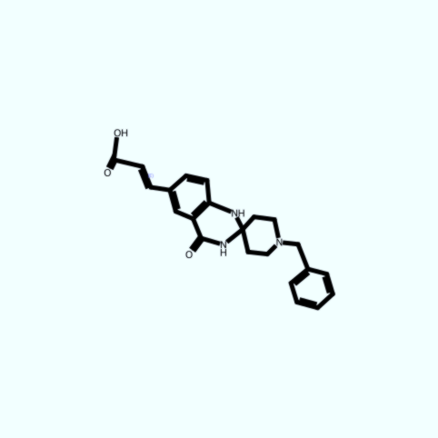 O=C(O)/C=C/c1ccc2c(c1)C(=O)NC1(CCN(Cc3ccccc3)CC1)N2